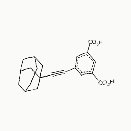 O=C(O)c1cc(C#CC23CC4CC(CC(C4)C2)C3)cc(C(=O)O)c1